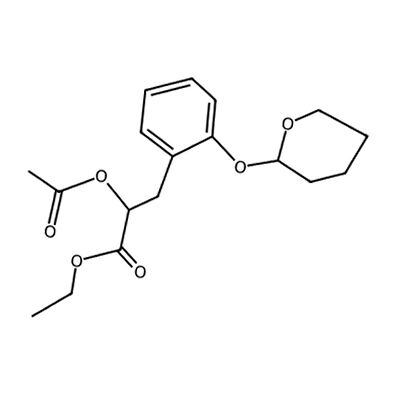 CCOC(=O)C(Cc1ccccc1OC1CCCCO1)OC(C)=O